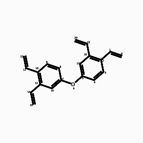 C=Cc1ccc(Oc2ccc(C=C)c(C=C)c2)cc1C=C